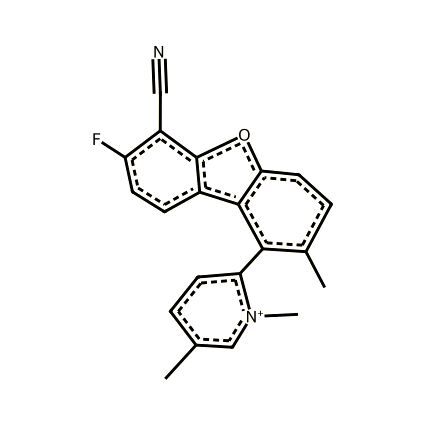 Cc1ccc(-c2c(C)ccc3oc4c(C#N)c(F)ccc4c23)[n+](C)c1